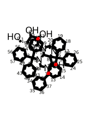 OC[C@H]1O[C@@H](N2C=NC3(C(c4ccccc4)(c4ccccc4)c4ccccc4)C(O)N(Cc4ccccc4)CN(C(c4ccccc4)(c4ccccc4)c4ccccc4)C23)C(O)C1O